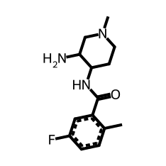 Cc1ccc(F)cc1C(=O)NC1CCN(C)CC1N